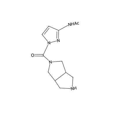 CC(=O)Nc1ccn(C(=O)N2CC3CNCC3C2)n1